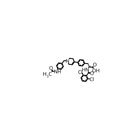 CC(=O)Nc1ccc(CN2CC=C(c3ccc(C[C@H](NC(=O)c4c(Cl)cccc4Cl)C(=O)O)cc3)CC2)cc1